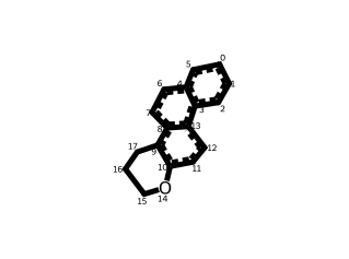 c1ccc2c(c1)ccc1c3c(ccc12)OCCC3